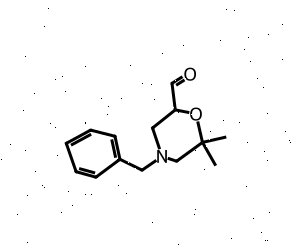 CC1(C)CN(Cc2ccccc2)CC(C=O)O1